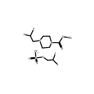 CC(C)(C)OC(=O)N1CCN(CC(F)F)CC1.O=S(=O)(OCC(F)F)C(F)(F)F